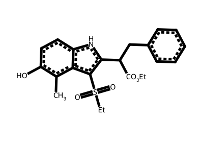 CCOC(=O)C(Cc1ccccc1)c1[nH]c2ccc(O)c(C)c2c1S(=O)(=O)CC